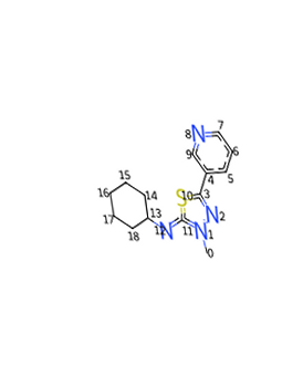 Cn1nc(-c2cccnc2)sc1=NC1CCCCC1